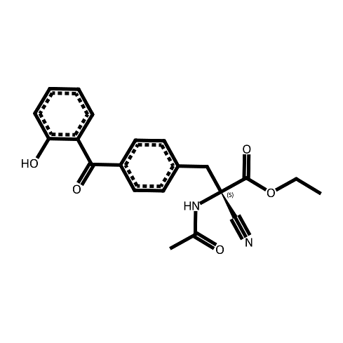 CCOC(=O)[C@@](C#N)(Cc1ccc(C(=O)c2ccccc2O)cc1)NC(C)=O